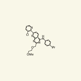 COCCOCc1nc(Nc2ccc(C(C)C)cc2)c2ccc(-c3ncccc3Cl)nc2n1